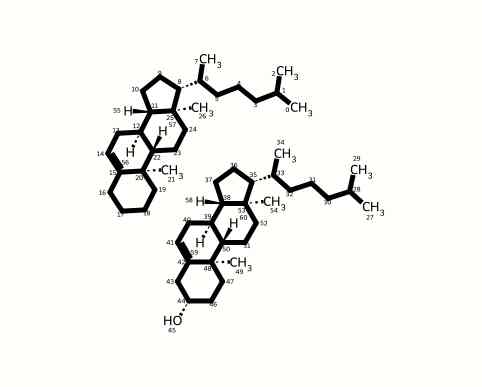 CC(C)CCCC(C)[C@H]1CC[C@H]2[C@@H]3CC=C4CCCC[C@]4(C)[C@H]3CC[C@]12C.CC(C)CCCC(C)[C@H]1CC[C@H]2[C@@H]3CC=C4C[C@@H](O)CC[C@]4(C)[C@H]3CC[C@]12C